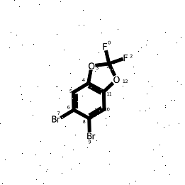 FC1(F)Oc2cc(Br)c(Br)cc2O1